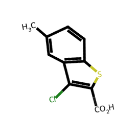 Cc1ccc2sc(C(=O)O)c(Cl)c2c1